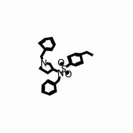 CCc1ccc(S(=O)(=O)N(Cc2ccccc2)C2CCN(Cc3ccccc3)C2)cc1